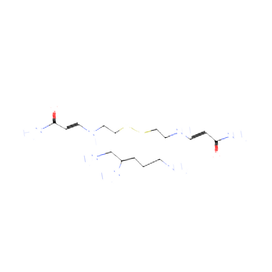 NC(=O)C=CNCCSSCCNC=CC(N)=O.NCCCC(N)CN